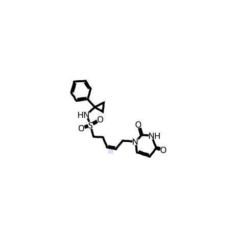 O=c1ccn(C/C=C\CCS(=O)(=O)NC2(c3ccccc3)CC2)c(=O)[nH]1